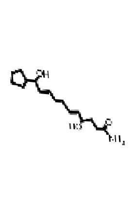 NC(=O)CCC(O)C=CC=CC=CC(O)C1CCCC1